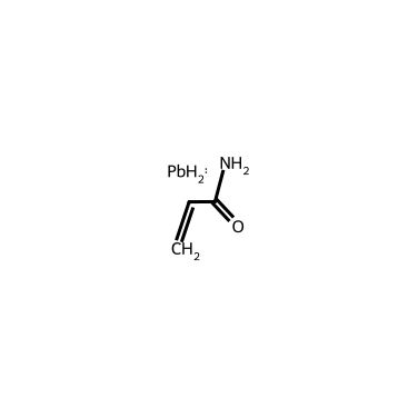 C=CC(N)=O.[PbH2]